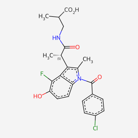 Cc1c([C@H](C)C(=O)NCC(C)C(=O)O)c2c(F)c(O)ccc2n1C(=O)c1ccc(Cl)cc1